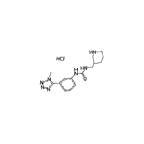 Cl.Cn1nnnc1-c1cccc(NC(=O)NCC2CCCNC2)c1